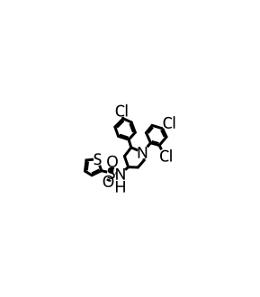 O=S(=O)(NC1CCN(c2ccc(Cl)cc2Cl)C(c2ccc(Cl)cc2)C1)c1cccs1